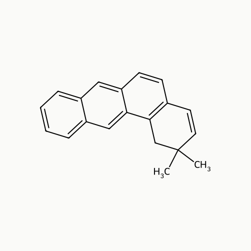 CC1(C)C=Cc2ccc3cc4ccccc4cc3c2C1